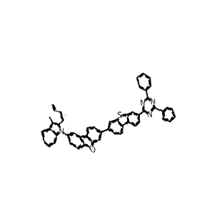 C=C/C=C\c1c(C)c2ccccc2n1-c1ccc2oc3cc(-c4ccc5c(c4)sc4cc(-c6nc(-c7ccccc7)nc(-c7ccccc7)n6)ccc45)ccc3c2c1